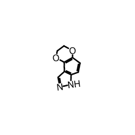 c1cc2[nH]ncc2c2c1OCCO2